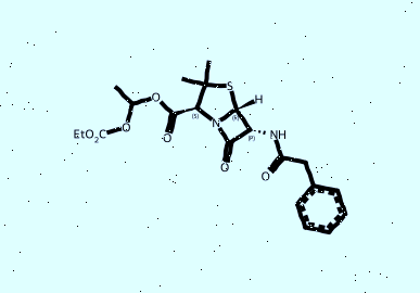 CCOC(=O)OC(C)OC(=O)[C@@H]1N2C(=O)[C@@H](NC(=O)Cc3ccccc3)[C@H]2SC1(C)C